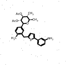 CC(=O)O[C@H]1[C@H](C)[C@@H](C)OC(c2ccc(C)c(Cc3ccc(-c4cccc(N)c4)s3)c2)[C@@H]1OC(C)=O